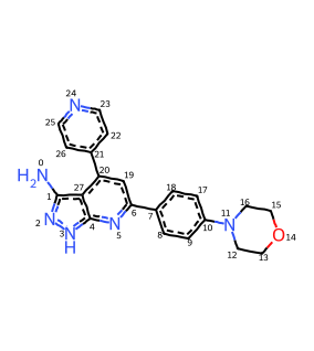 Nc1n[nH]c2nc(-c3ccc(N4CCOCC4)cc3)cc(-c3ccncc3)c12